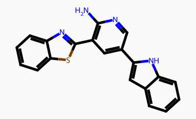 Nc1ncc(-c2cc3ccccc3[nH]2)cc1-c1nc2ccccc2s1